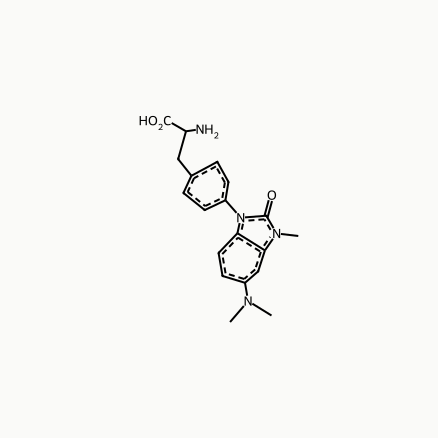 CN(C)c1ccc2c(c1)n(C)c(=O)n2-c1ccc(CC(N)C(=O)O)cc1